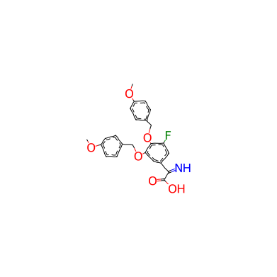 COc1ccc(COc2cc(C(=N)C(=O)O)cc(F)c2OCc2ccc(OC)cc2)cc1